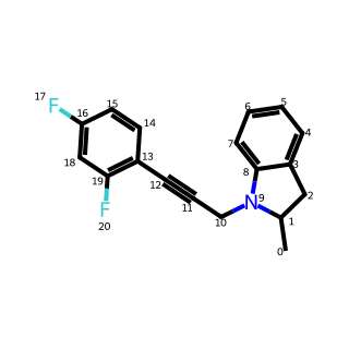 CC1Cc2ccccc2N1CC#Cc1ccc(F)cc1F